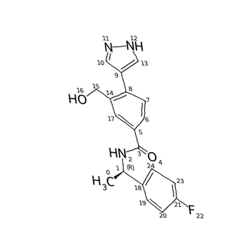 C[C@@H](NC(=O)c1ccc(-c2cn[nH]c2)c(CO)c1)c1ccc(F)cc1